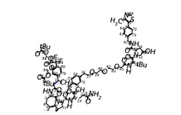 C/C(=C\C(=O)N[C@H]1CCc2cccc3c2N(C1=O)[C@H](C(=O)N[C@@H](CCC(N)=O)[C@@H](C)OCc1ccc(CCOCCOCCOCC(=O)N[C@H](C(=O)N2C[C@H](O)C[C@H]2C(=O)NCc2ccc(-c4scnc4C)cc2)C(C)(C)C)cc1)C3)c1ccc(C(F)(F)P(=O)(OCOC(=O)C(C)(C)C)OCOC(=O)C(C)(C)C)cc1